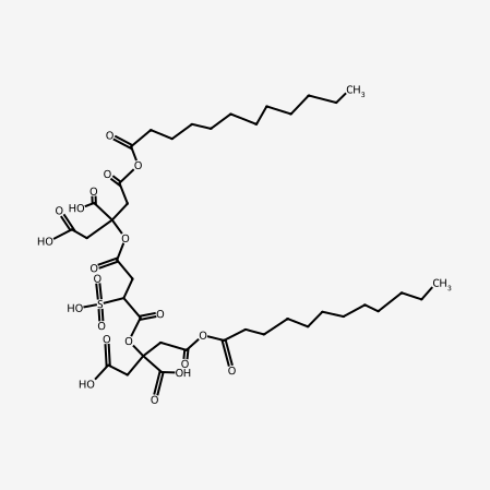 CCCCCCCCCCCC(=O)OC(=O)CC(CC(=O)O)(OC(=O)CC(C(=O)OC(CC(=O)O)(CC(=O)OC(=O)CCCCCCCCCCC)C(=O)O)S(=O)(=O)O)C(=O)O